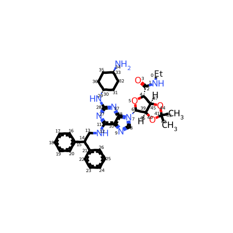 CCNC(=O)[C@H]1O[C@@H](n2cnc3c(NCC(c4ccccc4)c4ccccc4)nc(N[C@H]4CC[C@H](N)CC4)nc32)[C@@H]2OC(C)(C)O[C@@H]21